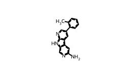 Cc1ccccc1-c1cnc2[nH]c3cnc(N)cc3c2c1